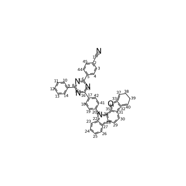 N#Cc1ccc(-c2nc(-c3ccccc3)nc(-c3ccc(-n4c5ccccc5c5ccc6c7c(oc6c54)=CCCC=7)cc3)n2)cc1